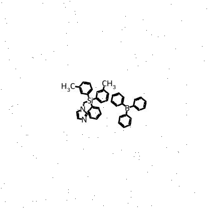 Cc1cccc([Si](Cn2ccnc2)(c2ccccc2)c2cccc(C)c2)c1.c1ccc(B(c2ccccc2)c2ccccc2)cc1